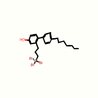 CCCCCCCc1ccc(-c2ccc(O)cc2CCC[Si](Br)(Br)Br)cc1